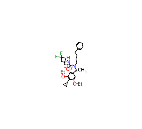 CCOc1cc([C@@H](C)N(CCCCc2ccccc2)C(=O)NC2(C(=O)O)CC(F)(F)C2)cc(OCC)c1C1CC1